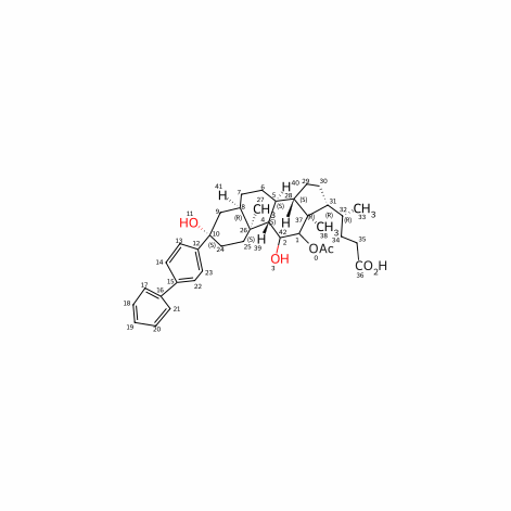 CC(=O)OC1C(O)[C@H]2[C@@H](CC[C@@H]3C[C@](O)(c4ccc(-c5ccccc5)cc4)CC[C@@]32C)[C@@H]2CC[C@H]([C@H](C)CCC(=O)O)[C@@]12C